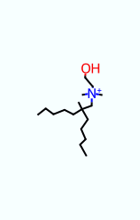 CCCCCC(C)(CCCCC)C[N+](C)(C)CCO